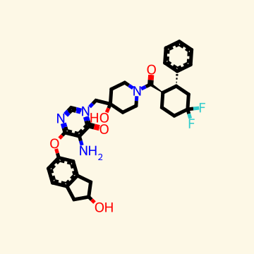 Nc1c(Oc2ccc3c(c2)CC(O)C3)ncn(CC2(O)CCN(C(=O)[C@@H]3CCC(F)(F)C[C@H]3c3ccccc3)CC2)c1=O